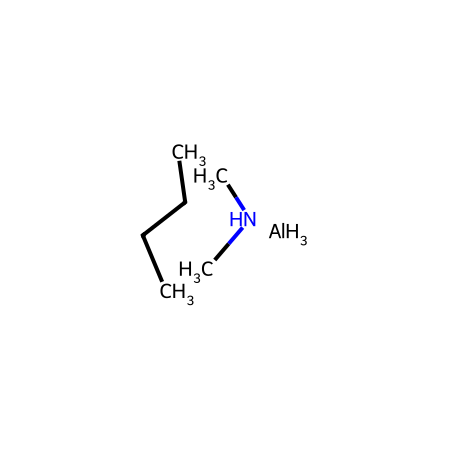 CCCC.CNC.[AlH3]